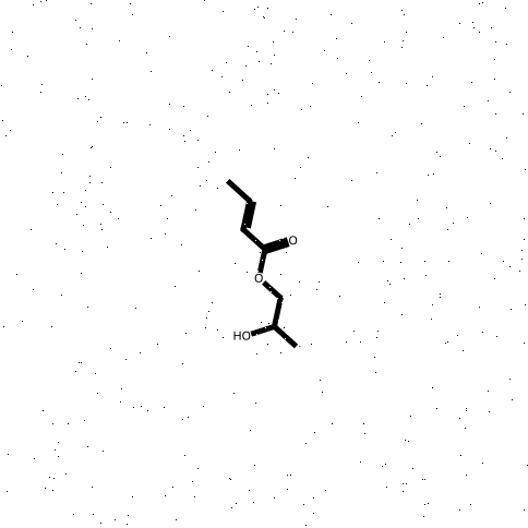 [CH2]C(O)COC(=O)C=CC